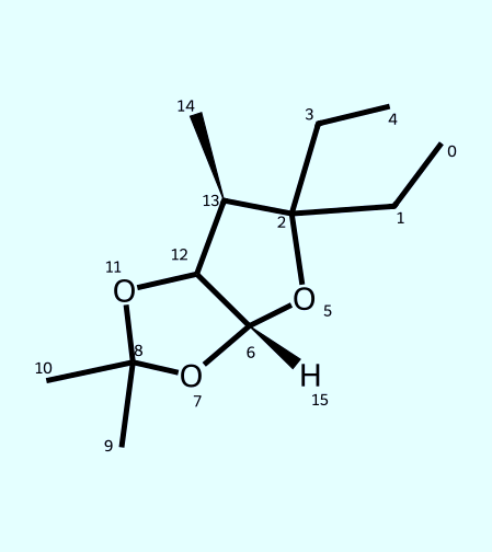 CCC1(CC)O[C@@H]2OC(C)(C)OC2[C@H]1C